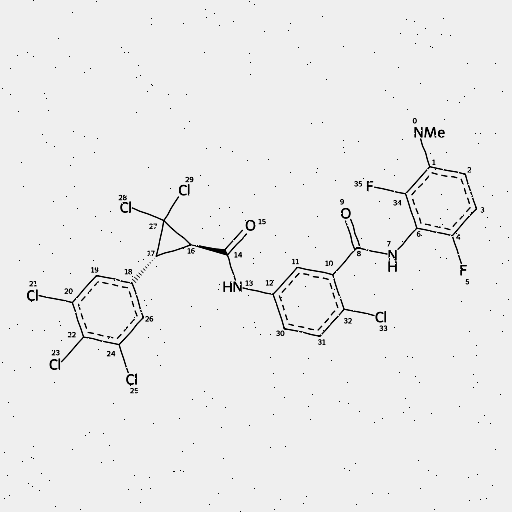 CNc1ccc(F)c(NC(=O)c2cc(NC(=O)[C@H]3[C@H](c4cc(Cl)c(Cl)c(Cl)c4)C3(Cl)Cl)ccc2Cl)c1F